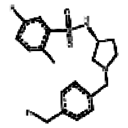 Cc1ccc(F)cc1S(=O)(=O)N[C@H]1CCN(Cc2ccc(CC(C)C)cc2)C1